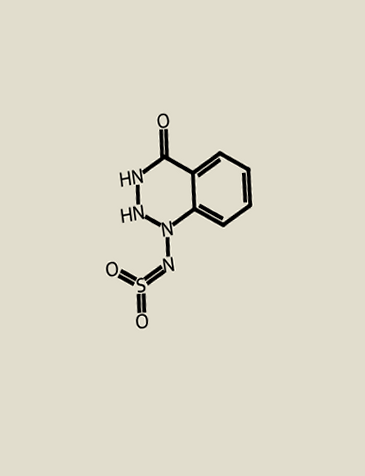 O=C1NNN(N=S(=O)=O)c2ccccc21